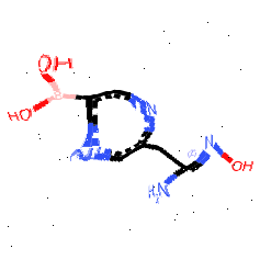 N/C(=N\O)c1cnc(B(O)O)cn1